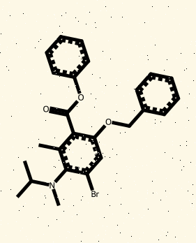 Cc1c(C(=O)Oc2ccccc2)c(OCc2ccccc2)cc(Br)c1N(C)C(C)C